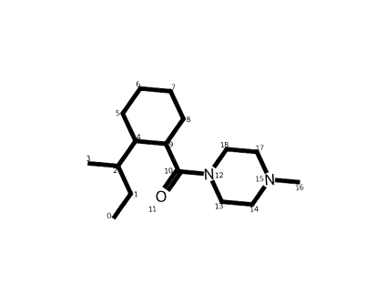 CCC(C)C1CCCCC1C(=O)N1CCN(C)CC1